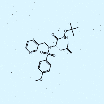 C=C(F)C[C@@H](C(=O)NOC(C)(C)C)N(Cc1cccnc1)S(=O)(=O)c1ccc(OC)cc1